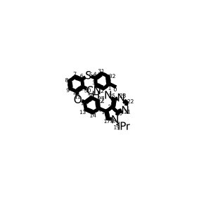 Cc1ccc(Sc2cccc(Oc3ccc(-c4cn(C(C)C)c5ncnc(N)c45)cc3)c2C#N)cc1